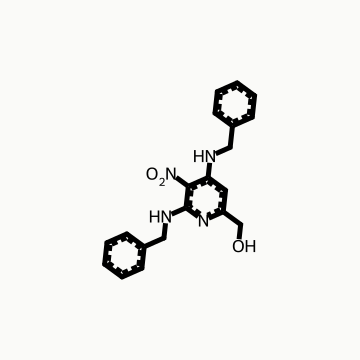 O=[N+]([O-])c1c(NCc2ccccc2)cc(CO)nc1NCc1ccccc1